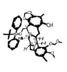 COCOc1c(OC)c(C)cc2c1[C@@H]1[C@@H]3Cc4c(O)c(C)c5c(c4[C@H](CO[Si](c4ccccc4)(c4ccccc4)C(C)(C)C)N3[C@@H](C#N)[C@@H](C2)N1C)OCO5